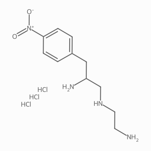 Cl.Cl.Cl.NCCNCC(N)Cc1ccc([N+](=O)[O-])cc1